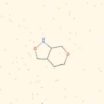 C1CC2CONC2CO1